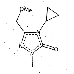 COCc1nn(C)c(=O)n1C1CC1